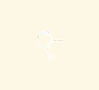 Cc1n[c]sc1O